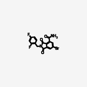 NC(=O)c1cc(Br)cc2c1C(=O)N(Cc1ccc(F)cc1F)C2=O